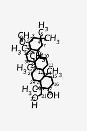 CO[C@@H]1CC(C)(C)CC2C3=CCC4[C@@]5(C)CC[C@H](O)[C@](C)(CO)C5CC[C@@]4(C)[C@]3(C)CC[C@]21C